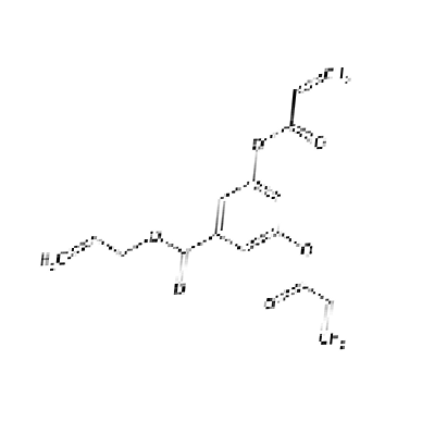 C=CCOC(=O)c1cc(OC(=O)C=C)cc(OC(=O)C=C)c1